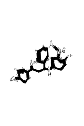 O=C(CC(Nc1ccc(Cl)c([N+](=O)[O-])c1)c1ccccc1)c1ccc(Cl)cc1